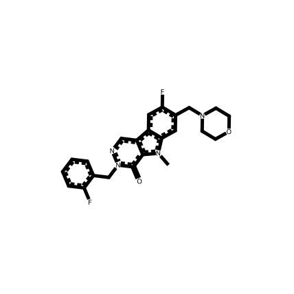 Cn1c2cc(CN3CCOCC3)c(F)cc2c2cnn(Cc3ccccc3F)c(=O)c21